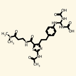 CC(=O)Nc1nc(CCc2ccc(NC(NC(=O)O)NC(=O)O)cc2)c(C(=O)NCCC(=O)N(C)C)s1